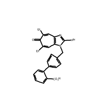 CCCc1nc2cc(CC)c(=O)c(CC)cc2n1Cc1ccc(-c2ccccc2C(=O)O)cc1